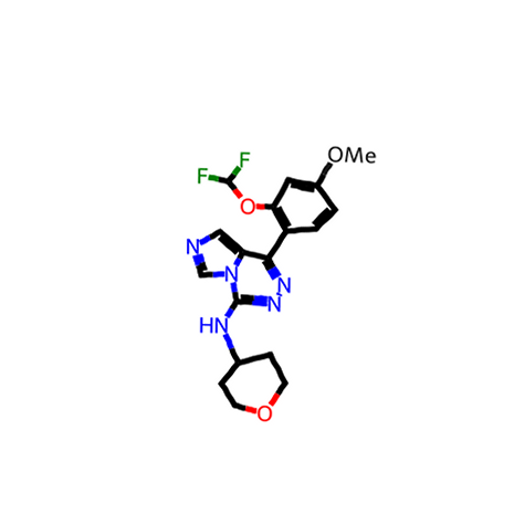 COc1ccc(-c2nnc(NC3CCOCC3)n3cncc23)c(OC(F)F)c1